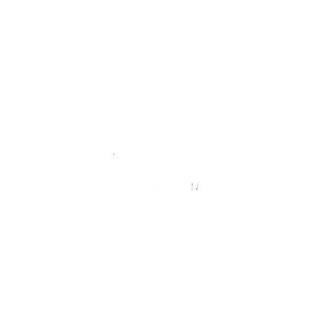 Cc1cc2cc(c1)-c1nccc3cc(C)cc(c13)CC1CCCCC1C2